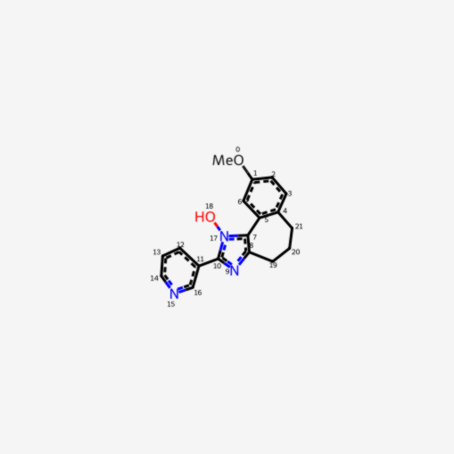 COc1ccc2c(c1)-c1c(nc(-c3cccnc3)n1O)CCC2